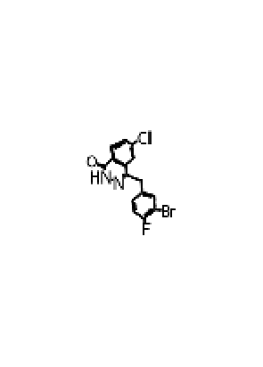 O=c1[nH]nc(Cc2ccc(F)c(Br)c2)c2cc(Cl)ccc12